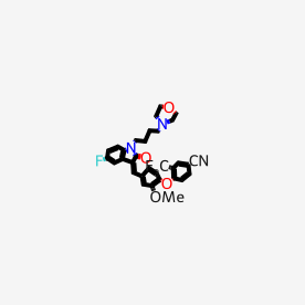 COc1cc(C=C2C(=O)N(CCCCN3CCOCC3)c3ccc(F)cc32)ccc1Oc1ccc(C#N)cc1C(F)(F)F